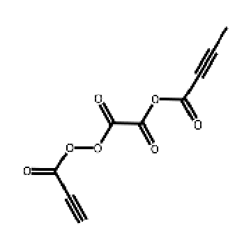 C#CC(=O)OOC(=O)C(=O)OC(=O)C#CC